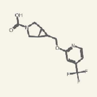 O=C(O)N1CC2C(COc3cc(C(F)(F)F)ccn3)C2C1